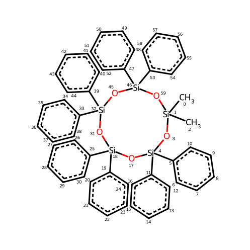 C[Si]1(C)O[Si](c2ccccc2)(c2ccccc2)O[Si](c2ccccc2)(c2ccccc2)O[Si](c2ccccc2)(c2ccccc2)O[Si](c2ccccc2)(c2ccccc2)O1